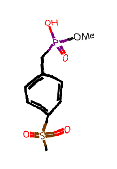 COP(=O)(O)Cc1ccc(S(C)(=O)=O)cc1